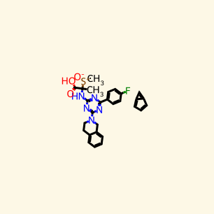 C[S@@+]([O-])C(C)(Nc1nc(-c2ccc(F)cc2)nc(N2CCc3ccccc3C2)n1)C(=O)O.c1cc2cc-2c1